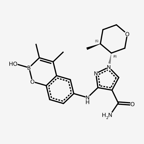 CC1=C(C)c2cc(Nc3nn([C@H]4COCC[C@@H]4C)cc3C(N)=O)ccc2OB1O